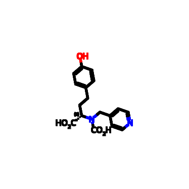 O=C(O)[C@H](CCc1ccc(O)cc1)N(Cc1ccncc1)C(=O)O